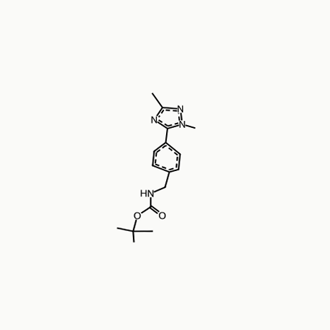 Cc1nc(-c2ccc(CNC(=O)OC(C)(C)C)cc2)n(C)n1